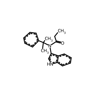 CCC(=O)N(c1c[nH]c2ccccc12)C(C)(C)c1ccccc1